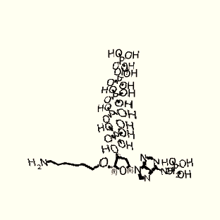 NCCCCCCOC[C@H]1O[C@@H](n2cnc3c(N)ncnc32)C[C@@H]1O.O=P(O)(O)O.O=P(O)(O)O.O=P(O)(O)O.O=P(O)(O)O.O=P(O)(O)O.O=P(O)(O)O